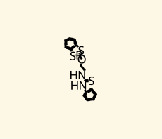 S=C(NCCOP1Sc2ccccc2S1)Nc1ccccc1